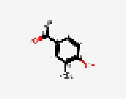 CC(C)C(=O)c1ccc(O)c(C(C)(C)C)c1